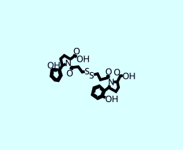 O=C(O)C1CCC(c2ccccc2O)N1C(=O)CCSSCCC(=O)N1C(C(=O)O)CCC1c1ccccc1O